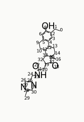 CCc1cc2c(cc1O)CCC1C2CC[C@]2(C)C(=O)C(CC(=O)NCc3cnc(C)cn3)CC12